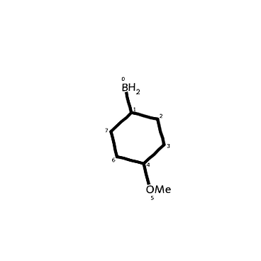 BC1CCC(OC)CC1